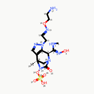 CN/C(=N\O)[C@@H]1c2c(cnn2C/C=N/OCCN)[C@H]2CN1C(=O)N2OS(=O)(=O)O